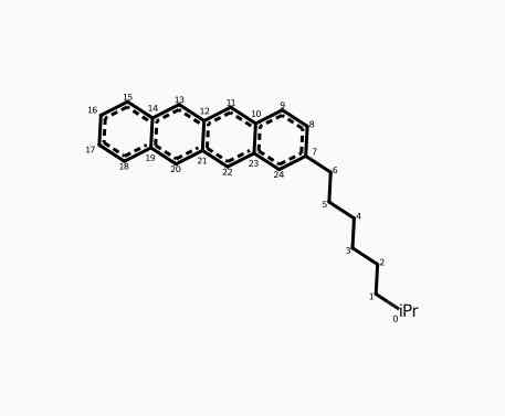 CC(C)CCCCCCc1ccc2cc3cc4ccccc4cc3cc2c1